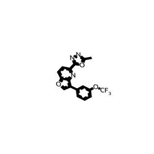 Cc1nnc(-c2ccc3occ(-c4cccc(OC(F)(F)F)c4)c3n2)o1